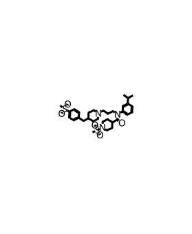 CC(C)c1cccc(N(CCCN2CCC(Cc3ccc(S(C)(=O)=O)cc3)CC2)C(=O)C2CCN(S(C)(=O)=O)CC2)c1